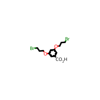 O=C(O)c1cc(OCCCBr)cc(OCCCBr)c1